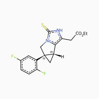 CCOC(=O)Cc1[nH]c(=S)n2c1[C@@H]1C[C@]1(c1cc(F)ccc1F)C2